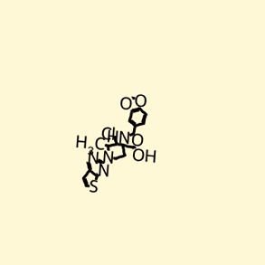 CC1C(Cl)C(NCc2ccc3c(c2)OCO3)(C(=O)O)CCN1c1ncc2ccsc2n1